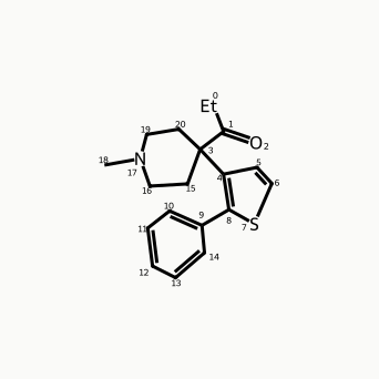 CCC(=O)C1(c2ccsc2-c2ccccc2)CCN(C)CC1